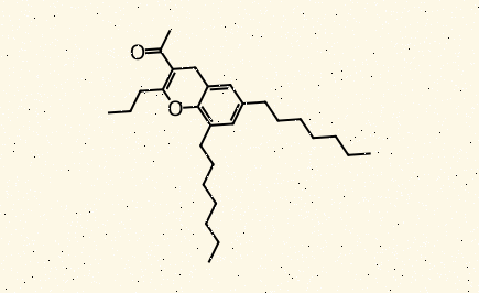 CCCCCCCc1cc(CCCCCCC)c2c(c1)CC(C(C)=O)=C(CCC)O2